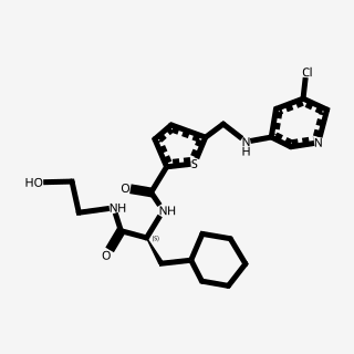 O=C(N[C@@H](CC1CCCCC1)C(=O)NCCO)c1ccc(CNc2cncc(Cl)c2)s1